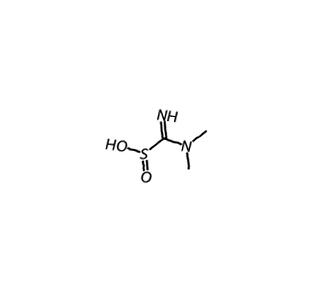 CN(C)C(=N)S(=O)O